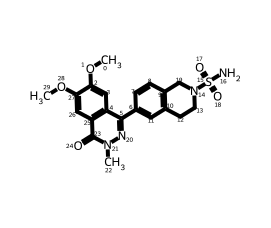 COc1cc2c(-c3ccc4c(c3)CCN(S(N)(=O)=O)C4)nn(C)c(=O)c2cc1OC